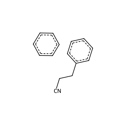 N#CCCc1ccccc1.c1ccccc1